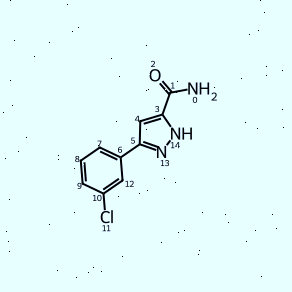 NC(=O)c1cc(-c2cccc(Cl)c2)n[nH]1